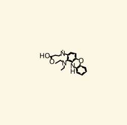 CCN(CC)c1c(N(C)CCC(=O)O)ccc2c1Nc1ccccc1O2